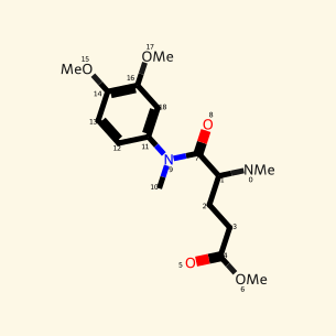 CNC(CCC(=O)OC)C(=O)N(C)c1ccc(OC)c(OC)c1